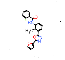 Cc1c(NC(=O)c2ccccc2F)cccc1-c1nnc(-c2ccco2)o1